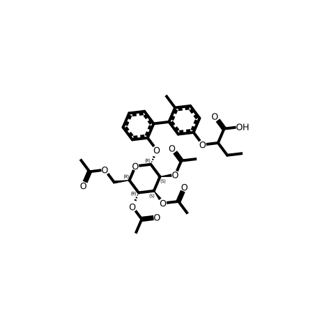 CCC(Oc1ccc(C)c(-c2ccccc2O[C@H]2O[C@H](COC(C)=O)[C@@H](OC(C)=O)[C@H](OC(C)=O)[C@@H]2OC(C)=O)c1)C(=O)O